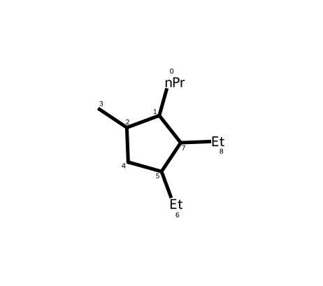 CCCC1C(C)CC(CC)C1CC